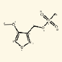 COc1conc1COS(C)(=O)=O